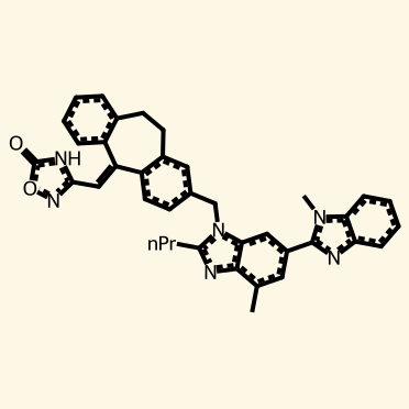 CCCc1nc2c(C)cc(-c3nc4ccccc4n3C)cc2n1Cc1ccc2c(c1)CCc1ccccc1C2=Cc1noc(=O)[nH]1